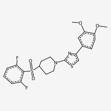 COc1ccc(-c2csc(N3CCC(S(=O)(=O)c4c(F)cccc4F)CC3)n2)cc1OC